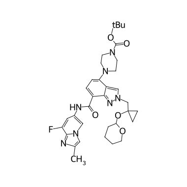 Cc1cn2cc(NC(=O)c3ccc(N4CCN(C(=O)OC(C)(C)C)CC4)c4cn(CC5(OC6CCCCO6)CC5)nc34)cc(F)c2n1